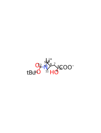 CC(C)(C)OC(=O)N1CC(CC(O)C(=O)[O-])C1.[Li+]